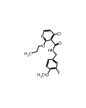 CCCOc1nccc(Cl)c1C(=O)NCc1ccc(OC)c(F)c1